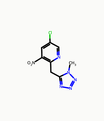 Cn1nnnc1Cc1ncc(Cl)cc1[N+](=O)[O-]